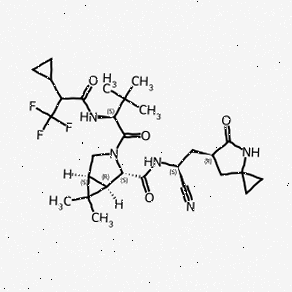 CC(C)(C)[C@H](NC(=O)C(C1CC1)C(F)(F)F)C(=O)N1C[C@H]2[C@@H]([C@H]1C(=O)N[C@H](C#N)C[C@@H]1CC3(CC3)NC1=O)C2(C)C